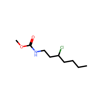 CCCCC(Cl)CCNC(=O)OC